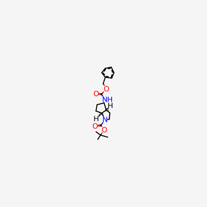 CC(C)(C)OC(=O)N1CC[C@H]2C(NC(=O)OCc3ccccc3)CC[C@H]21